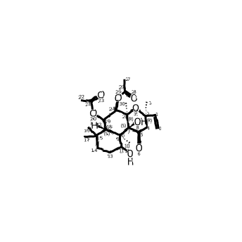 C=C[C@@]1(C)CC(=O)[C@]2(O)[C@@]3(C)C(O)CCC(C)(C)[C@@H]3C(OC(C)=O)C(OC(C)=O)[C@@]2(C)O1